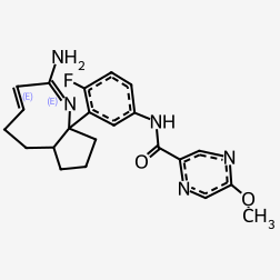 COc1cnc(C(=O)Nc2ccc(F)c(C34CCCC3CC/C=C/C(N)=N\4)c2)cn1